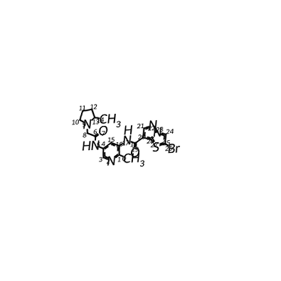 Cc1ncc(NC(=O)CN2CCCC2C)cc1NC(=O)c1cnn2cc(Br)sc12